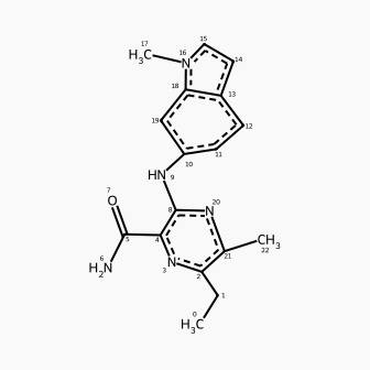 CCc1nc(C(N)=O)c(Nc2ccc3ccn(C)c3c2)nc1C